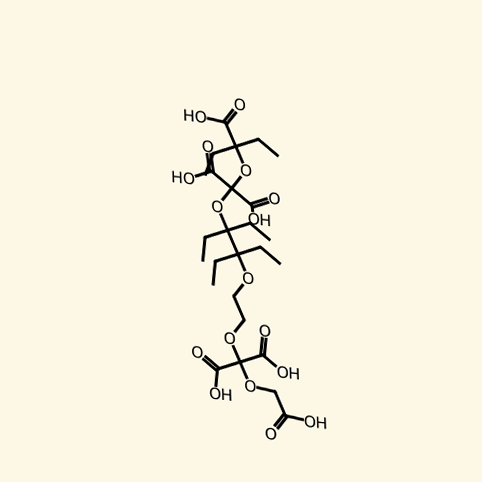 CCC(CC)(OC(OC(CC)(CC)C(CC)(CC)OCCOC(OCC(=O)O)(C(=O)O)C(=O)O)(C(=O)O)C(=O)O)C(=O)O